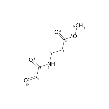 COC(=O)CCNC(=O)C=O